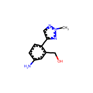 Cn1ncc(-c2ccc(N)cc2CO)n1